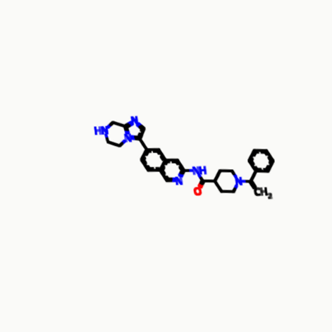 C=C(c1ccccc1)N1CCC(C(=O)Nc2cc3cc(-c4cnc5n4CCNC5)ccc3cn2)CC1